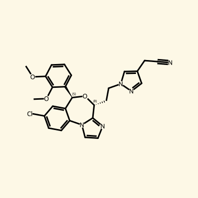 COc1cccc([C@H]2O[C@H](CCn3cc(CC#N)cn3)c3nccn3-c3ccc(Cl)cc32)c1OC